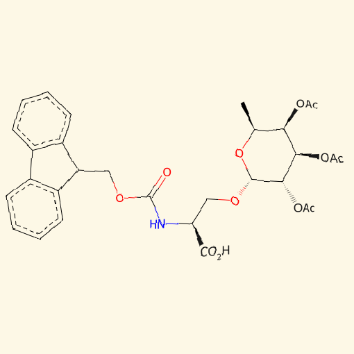 CC(=O)O[C@H]1[C@H](OC(C)=O)[C@H](OC[C@H](NC(=O)OCC2c3ccccc3-c3ccccc32)C(=O)O)O[C@@H](C)[C@H]1OC(C)=O